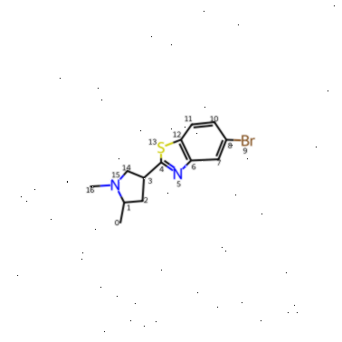 CC1CC(c2nc3cc(Br)ccc3s2)CN1C